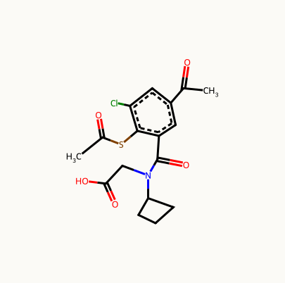 CC(=O)Sc1c(Cl)cc(C(C)=O)cc1C(=O)N(CC(=O)O)C1CCC1